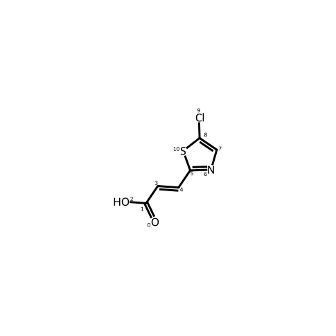 O=C(O)/C=C/c1ncc(Cl)s1